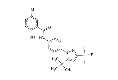 CC(C)(C)c1cc(C(F)(F)F)nn1-c1ccc(NC(=O)c2cc(Cl)ccc2O)cc1